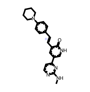 CNc1nccc(-c2c[nH]c(=O)c(/C=C/c3ccc(N4CCCCC4)cc3)c2)n1